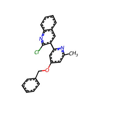 Cc1cc(OCc2ccccc2)cc(-c2cc3ccccc3nc2Cl)n1